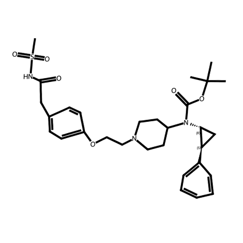 CC(C)(C)OC(=O)N(C1CCN(CCOc2ccc(CC(=O)NS(C)(=O)=O)cc2)CC1)[C@@H]1C[C@H]1c1ccccc1